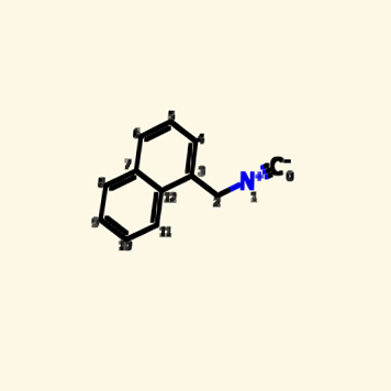 [C-]#[N+]Cc1cccc2ccccc12